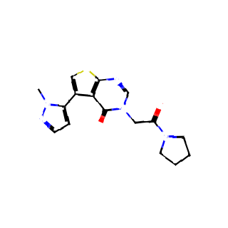 Cn1nccc1-c1csc2ncn(CC(=O)N3CCCC3)c(=O)c12